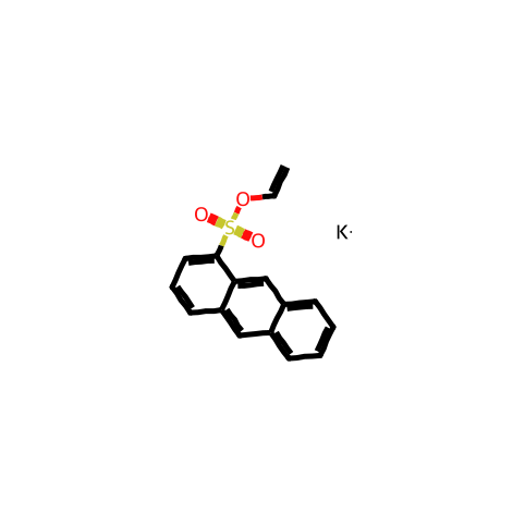 C=COS(=O)(=O)c1cccc2cc3ccccc3cc12.[K]